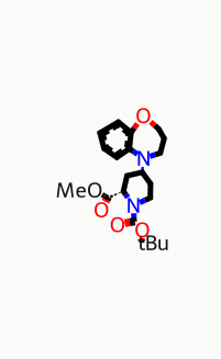 COC(=O)[C@@H]1C[C@H](N2CCCOc3ccccc32)CCN1C(=O)OC(C)(C)C